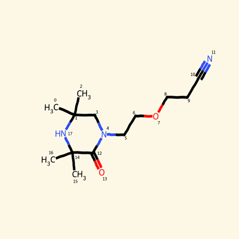 CC1(C)CN(CCOCCC#N)C(=O)C(C)(C)N1